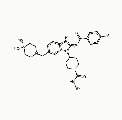 CC(C)NC(=O)[C@H]1CC[C@@H](n2/c(=N/C(=O)c3ccc(F)cc3)[nH]c3ccc(CN4CCS(O)(O)CC4)cc32)CC1